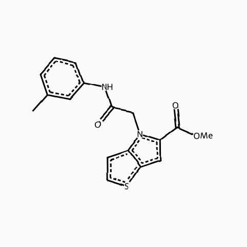 COC(=O)c1cc2sccc2n1CC(=O)Nc1cccc(C)c1